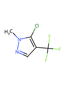 Cn1n[c]c(C(F)(F)F)c1Cl